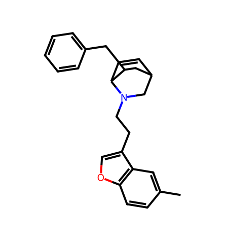 Cc1ccc2occ(CCN3CC4C=CC3C(Cc3ccccc3)C4)c2c1